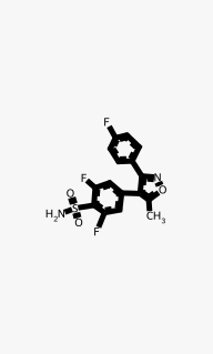 Cc1onc(-c2ccc(F)cc2)c1-c1cc(F)c(S(N)(=O)=O)c(F)c1